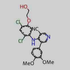 COc1ccc(-c2cncc(C#N)c2Nc2cc(OCCO)c(Cl)cc2Cl)cc1OC